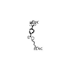 CCCCCCCCCCCCCCOC(=O)c1ccc(C(=O)OCCCCCCCCCC)cc1